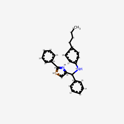 CCCCc1ccc(NC(c2ccccc2)c2csc(-c3ccccc3)n2)cc1